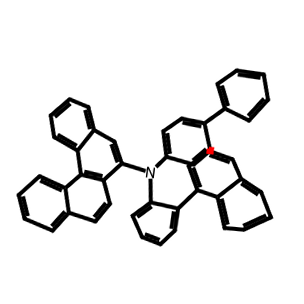 c1ccc(-c2ccc(N(c3ccccc3-c3cccc4ccccc34)c3cc4ccccc4c4c3ccc3ccccc34)cc2)cc1